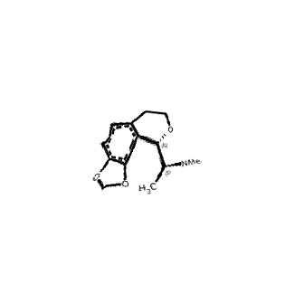 CN[C@@H](C)[C@H]1OCCc2ccc3c(c21)OCO3